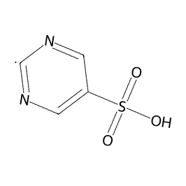 O=S(=O)(O)c1cn[c]nc1